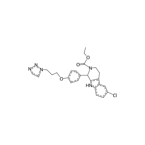 CCOC(=O)N1CCc2c([nH]c3ccc(Cl)cc23)C1c1ccc(OCCCn2ccnn2)cc1